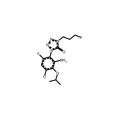 CC(C)Oc1c(Cl)cc(F)c(-n2nnn(CCCF)c2=O)c1N